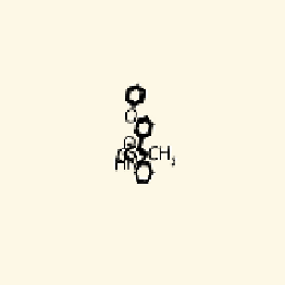 CC1=C(c2cccc(Oc3ccccc3)c2)S(=O)(=O)NC12CCCCC2